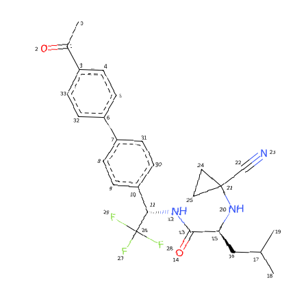 CC(=O)c1ccc(-c2ccc([C@H](NC(=O)[C@H](CC(C)C)NC3(C#N)CC3)C(F)(F)F)cc2)cc1